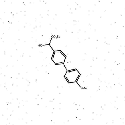 CCOC(=O)C(O)c1ccc(-c2ccc(SC)cc2)cc1